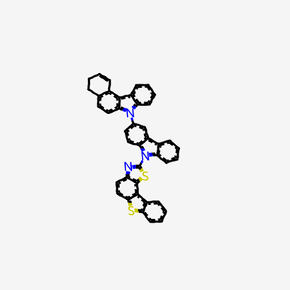 C1=Cc2c(ccc3c2c2ccccc2n3-c2ccc3c(c2)c2ccccc2n3-c2nc3ccc4sc5ccccc5c4c3s2)CC1